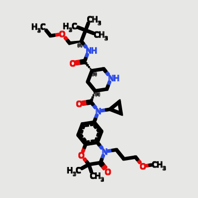 CCOC[C@H](NC(=O)[C@@H]1CNC[C@H](C(=O)N(c2ccc3c(c2)N(CCCOC)C(=O)C(C)(C)O3)C2CC2)C1)C(C)(C)C